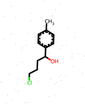 Cc1ccc(C(O)CCCCl)cc1